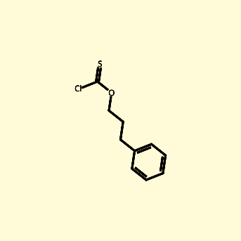 S=C(Cl)OCCCc1ccccc1